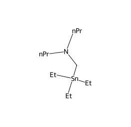 CCCN(CCC)[CH2][Sn]([CH2]C)([CH2]C)[CH2]C